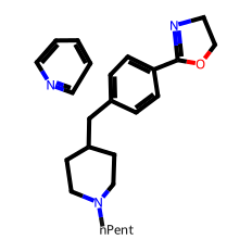 CCCCCN1CCC(Cc2ccc(C3=NCCO3)cc2)CC1.c1ccncc1